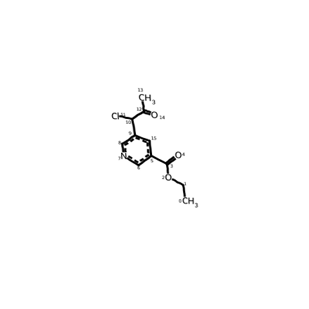 CCOC(=O)c1cncc(C(Cl)C(C)=O)c1